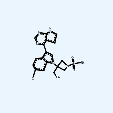 CCS(=O)(=O)N1CC(CC#N)(n2cc(-c3ncnc4[nH]ccc34)c3ccc(Cl)cc32)C1